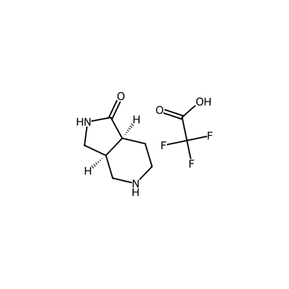 O=C(O)C(F)(F)F.O=C1NC[C@@H]2CNCC[C@H]12